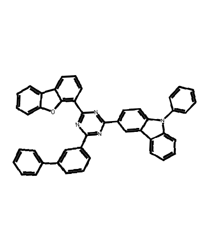 c1ccc(-c2cccc(-c3nc(-c4ccc5c(c4)c4ccccc4n5-c4ccccc4)nc(-c4cccc5c4oc4ccccc45)n3)c2)cc1